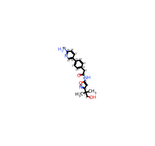 CC(C)(CO)c1cc(NC(=O)Cc2ccc(-c3ccc(N)nc3)cc2)on1